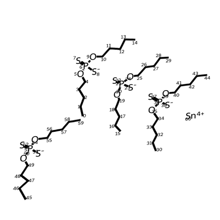 CCCCCOP(=S)([S-])OCCCCC.CCCCCOP(=S)([S-])OCCCCC.CCCCCOP(=S)([S-])OCCCCC.CCCCCOP(=S)([S-])OCCCCC.[Sn+4]